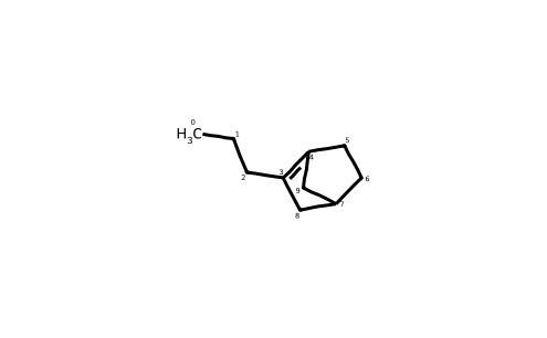 CCCC1=C2CCC(C1)C2